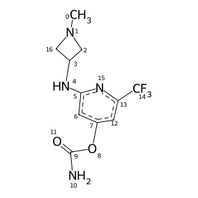 CN1CC(Nc2cc(OC(N)=O)cc(C(F)(F)F)n2)C1